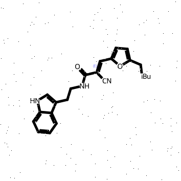 CCC(C)Cc1ccc(/C=C(\C#N)C(=O)NCCc2c[nH]c3ccccc23)o1